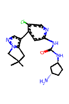 CC1(C)Cc2c(-c3cc(NC(=O)N[C@H]4CC[C@H](N)C4)ncc3Cl)cnn2C1